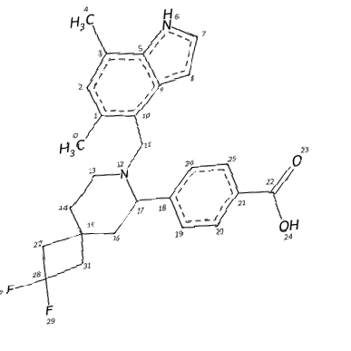 Cc1cc(C)c2[nH]ccc2c1CN1CCC2(CC1c1ccc(C(=O)O)cc1)CC(F)(F)C2